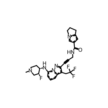 CN1CC[C@@H](Nc2cccc3c(CC(F)(F)F)c(C#CCNC(=O)c4cc5n(c4)CCC5)nn23)[C@@H](F)C1